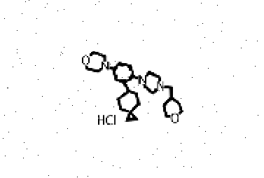 Cl.c1cc(N2CCN(CC3CCOCC3)CC2)c(C2CCC3(CC2)CC3)cc1N1CCOCC1